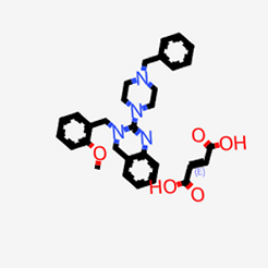 COc1ccccc1CN1Cc2ccccc2N=C1N1CCN(Cc2ccccc2)CC1.O=C(O)/C=C/C(=O)O